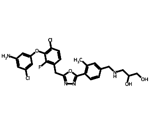 Cc1cc(CNCC(O)CO)ccc1-c1nnc(Cc2ccc(Cl)c(Oc3cc(N)cc(Cl)c3)c2F)o1